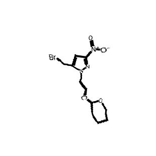 O=[N+]([O-])c1cc(CBr)n(CCOC2CCCCO2)n1